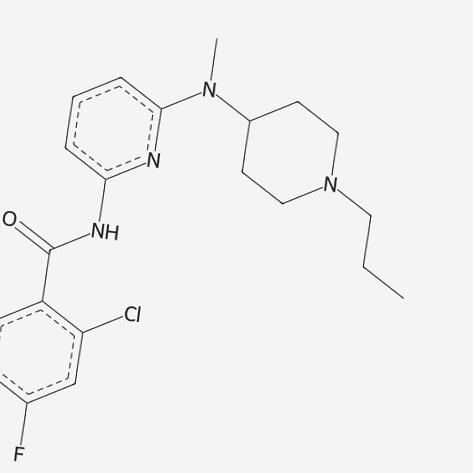 CCCN1CCC(N(C)c2cccc(NC(=O)c3ccc(F)cc3Cl)n2)CC1